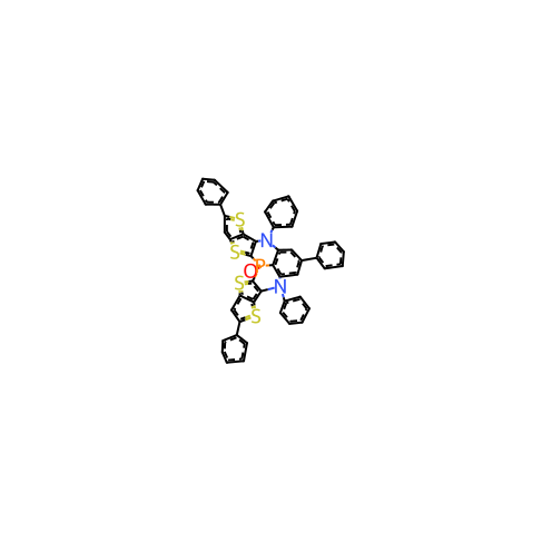 O=P12c3sc4cc(-c5ccccc5)sc4c3N(c3ccccc3)c3cc(-c4ccccc4)cc(c31)N(c1ccccc1)c1c2sc2cc(-c3ccccc3)sc12